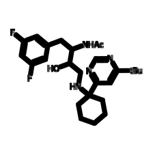 CC(=O)NC(Cc1cc(F)cc(F)c1)C(O)CNC1(c2cc(C(C)(C)C)ncn2)CCCCC1